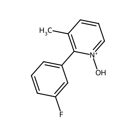 Cc1ccc[n+](O)c1-c1cccc(F)c1